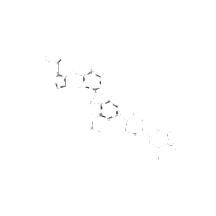 C[C@H]1CN(C2CCN(c3ccc(Nc4ncc(Cl)c(Nc5ccsc5C(N)=O)n4)c(OC(F)F)c3)CC2)CCN1C